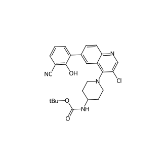 CC(C)(C)OC(=O)NC1CCN(c2c(Cl)cnc3ccc(-c4cccc(C#N)c4O)cc23)CC1